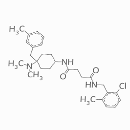 Cc1cccc(CC2(N(C)C)CCC(NC(=O)CCC(=O)NCc3c(C)cccc3Cl)CC2)c1